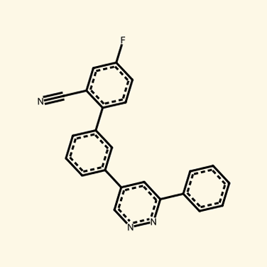 N#Cc1cc(F)ccc1-c1cccc(-c2cnnc(-c3ccccc3)c2)c1